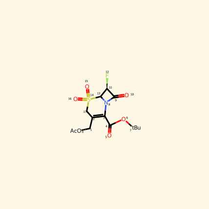 CC(=O)OCC1=C(C(=O)OC(C)(C)C)N2C(=O)[C@H](F)C2S(=O)(=O)C1